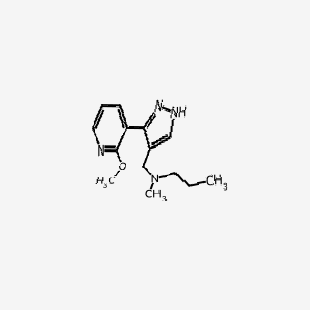 CCCN(C)Cc1c[nH]nc1-c1cccnc1OC